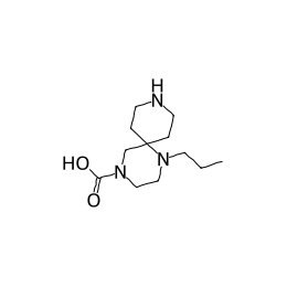 CCCN1CCN(C(=O)O)CC12CCNCC2